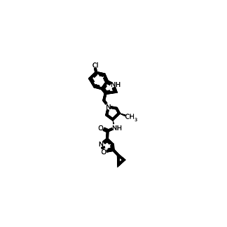 C[C@@H]1CN(Cc2c[nH]c3cc(Cl)ccc23)C[C@H]1NC(=O)c1cc(C2CC2)on1